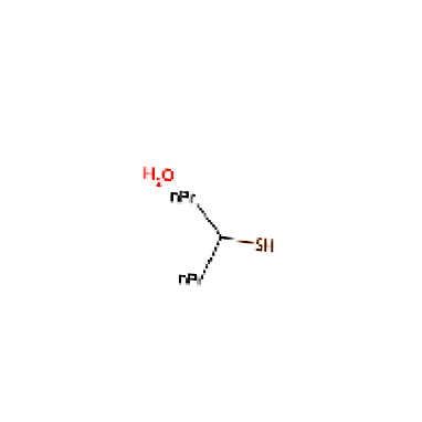 CCCC(S)CCC.O